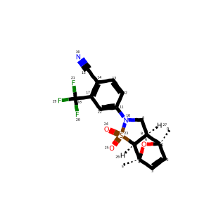 C[C@]12C=C[C@](C)(O1)[C@@H]1[C@H]2CN(c2ccc(C#N)c(C(F)(F)F)c2)S1(=O)=O